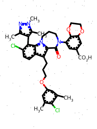 Cc1cc(OCCCc2c3n(c4c(-c5c(C)nn(C)c5C)c(Cl)ccc24)CCCN(c2cc(C(=O)O)cc4c2OCCO4)C3=O)cc(C)c1Cl